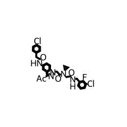 CC(=O)c1nn(CC(=O)N(CC(=O)NCc2cccc(Cl)c2F)C2CC2)c2ccc(NC(=O)Cc3ccc(Cl)cc3)cc12